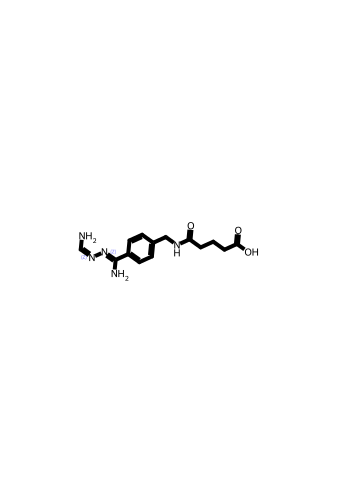 N/C=N\N=C(/N)c1ccc(CNC(=O)CCCC(=O)O)cc1